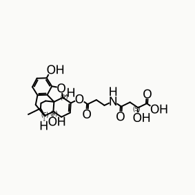 CC1CCC23c4c5ccc(O)c4O[C@H]2C(OC(=O)CCNC(=O)C[C@H](O)C(=O)O)=CC[C@@]3(O)[C@H]1C5